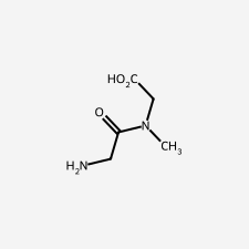 CN(CC(=O)O)C(=O)CN